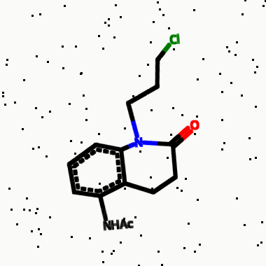 CC(=O)Nc1cccc2c1CCC(=O)N2CCCCl